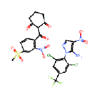 CS(=O)(=O)c1ccc(C(=O)C2C(=O)CCCC2=O)c([N+](=O)[O-])c1.Nc1c([N+](=O)[O-])cnn1-c1c(Cl)cc(C(F)(F)F)cc1Cl